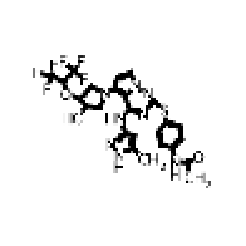 CC(=O)Nc1ccc(Sc2nc(Nc3cc(C)[nH]n3)c3c(N4CC(O)C(OC(C(F)(F)F)C(F)(F)F)C4)ccn3n2)cc1